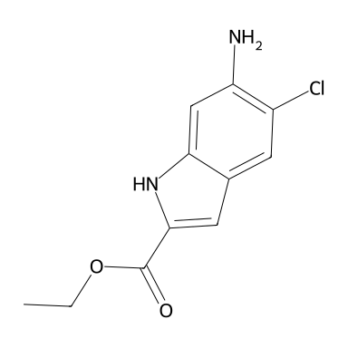 CCOC(=O)c1cc2cc(Cl)c(N)cc2[nH]1